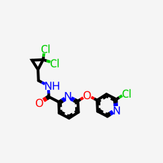 O=C(NCC1CC1(Cl)Cl)c1cccc(Oc2ccnc(Cl)c2)n1